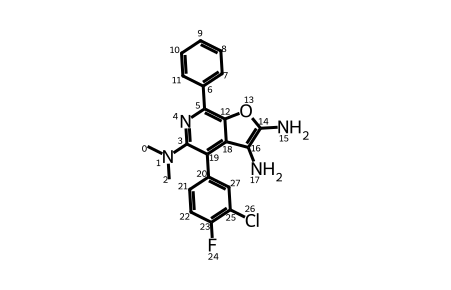 CN(C)c1nc(-c2ccccc2)c2oc(N)c(N)c2c1-c1ccc(F)c(Cl)c1